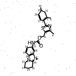 CC1=C(c2nc(C)c(COC(=O)Nc3ccc4c(c3)nc3n4CCCC3)s2)C=CC(C)C1